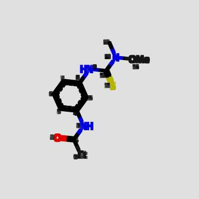 CCC(=O)Nc1cccc(NC(=S)N(C)OC)c1